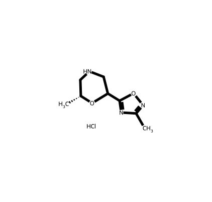 Cc1noc(C2CNC[C@@H](C)O2)n1.Cl